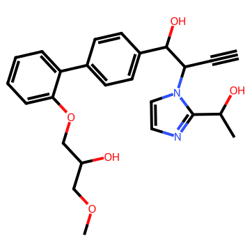 C#CC(C(O)c1ccc(-c2ccccc2OCC(O)COC)cc1)n1ccnc1C(C)O